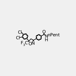 CCCCCNC(=O)c1ccc(C2=NOC(c3ccc(Cl)c(Cl)c3)(C(F)(F)F)C2)cc1